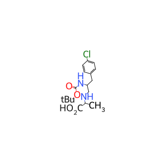 CC(NCC(Cc1ccc(Cl)cc1)NC(=O)OC(C)(C)C)C(=O)O